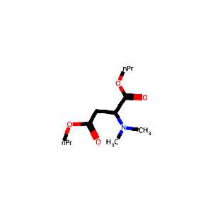 CCCOC(=O)CC(C(=O)OCCC)N(C)C